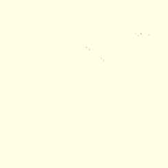 CNC(=O)Cn1nc2c3ccccc3oc(-c3ccc(Cl)cc3)c-2c1=O